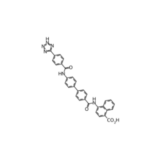 O=C(Nc1ccc(-c2ccc(C(=O)Nc3ccc(C(=O)O)c4ccccc34)cc2)cc1)c1ccc(-c2nn[nH]n2)cc1